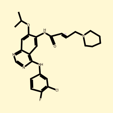 CC(C)Oc1cc2ncnc(Nc3ccc(F)c(Cl)c3)c2cc1NC(=O)/C=C/CN1CCCCC1